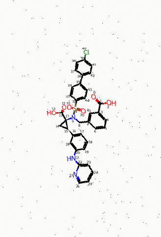 O=C(O)c1cccc(CN([C@]2(C(=O)O)C[C@@H]2c2cccc(Nc3ccccn3)c2)S(=O)(=O)c2ccc(-c3ccc(Cl)cc3)cc2)c1